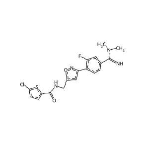 CN(C)C(=N)c1ccc(-c2cc(CNC(=O)c3ccc(Cl)s3)on2)c(F)c1